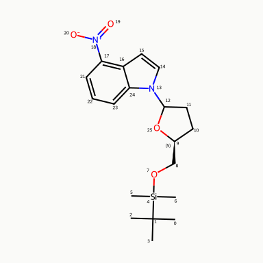 CC(C)(C)[Si](C)(C)OC[C@@H]1CCC(n2ccc3c([N+](=O)[O-])cccc32)O1